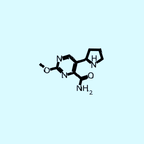 COc1ncc(C2CCCN2)c(C(N)=O)n1